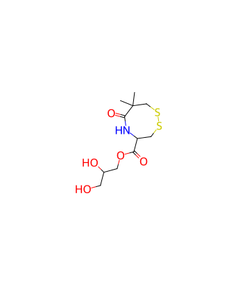 CC1(C)CSSCC(C(=O)OCC(O)CO)NC1=O